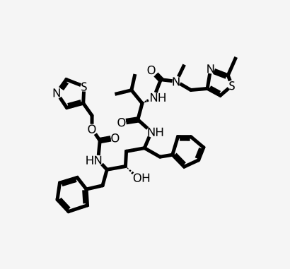 Cc1nc(CN(C)C(=O)N[C@H](C(=O)NC(Cc2ccccc2)C[C@H](O)C(Cc2ccccc2)NC(=O)OCc2cncs2)C(C)C)cs1